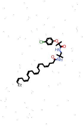 CC/C=C\C/C=C\C/C=C\C/C=C\C/C=C\C/C=C\CCC(=O)NC(C)(C)CNC(=O)C(C)(C)Oc1ccc(Cl)cc1